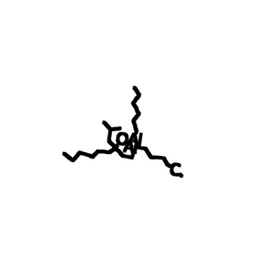 CCCCC[CH2][Al]1[CH2]CC(CCCCCC)(CC(C)C)[O][Al]1[CH2]CCCCC